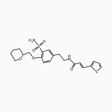 NS(=O)(=O)c1cc(CCNC(=O)/C=C/c2cccs2)ccc1OCC1CCCCO1